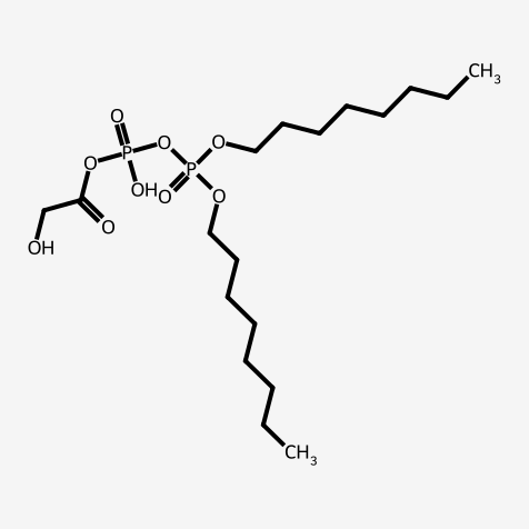 CCCCCCCCOP(=O)(OCCCCCCCC)OP(=O)(O)OC(=O)CO